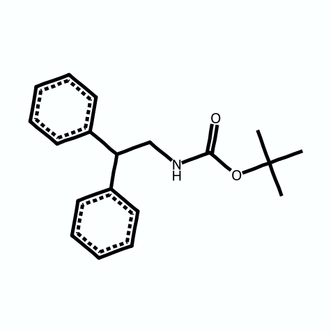 CC(C)(C)OC(=O)NCC(c1ccccc1)c1ccccc1